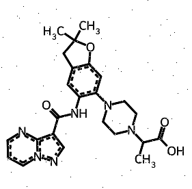 CC(C(=O)O)N1CCN(c2cc3c(cc2NC(=O)c2cnn4cccnc24)CC(C)(C)O3)CC1